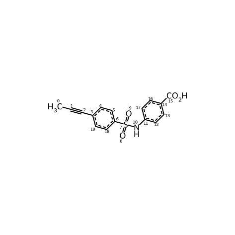 CC#Cc1ccc(S(=O)(=O)Nc2ccc(C(=O)O)cc2)cc1